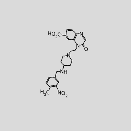 Cc1ccc(CNC2CCN(CCn3c(=O)cnc4ccc(C(=O)O)cc43)CC2)cc1[N+](=O)[O-]